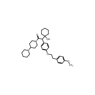 COc1ccc(CCOc2ccc(C(C(=O)N3CCC(N4CCCCC4)CC3)C3(O)CCCCC3)cc2)cc1